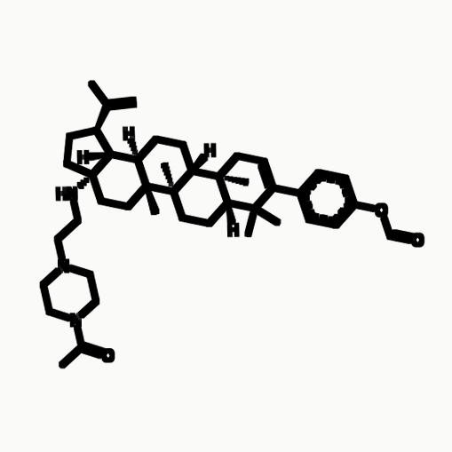 C=C(C)[C@@H]1CC[C@]2(NCCN3CCN(C(C)=O)CC3)CC[C@]3(C)[C@H](CC[C@@H]4[C@@]5(C)CC=C(c6ccc(OC=O)cc6)C(C)(C)[C@@H]5CC[C@]43C)[C@@H]12